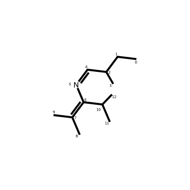 CCC(C)/C=N\C(=C(C)C)C(C)C